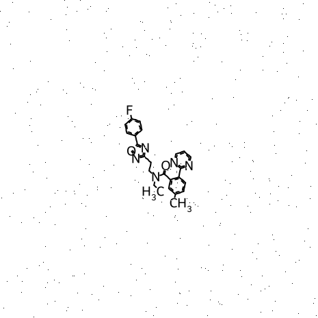 CCN(CCc1noc(-c2ccc(F)cc2)n1)C(=O)c1cc(C)ccc1-c1ncccn1